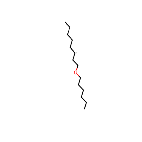 CCCCC[CH]CCOCCCCCC